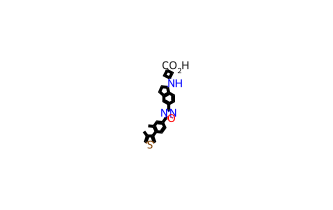 Cc1cc(-c2nc(-c3ccc4c(c3)CCC4NC3CC(C(=O)O)C3)no2)ccc1-c1cscc1C